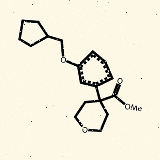 COC(=O)C1(c2cccc(OCC3CCCC3)c2)CCOCC1